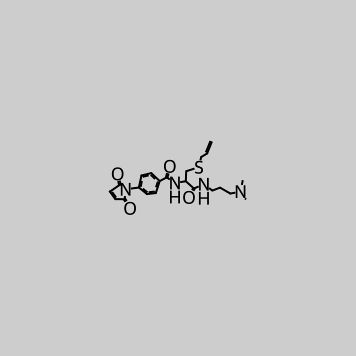 C=CCSCC(NC(=O)c1ccc(N2C(=O)C=CC2=O)cc1)C(=O)NCCCN(C)C